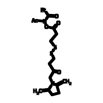 C=C1CCC(=C)N1CC(=O)CCSSCCC(=O)ON(C(C)=O)C(=O)CC